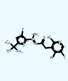 CC(C)c1ncc(F)c(C(C)C)c1CC(=O)/N=S(\N)c1sc(C(C)(C)O)cc1F